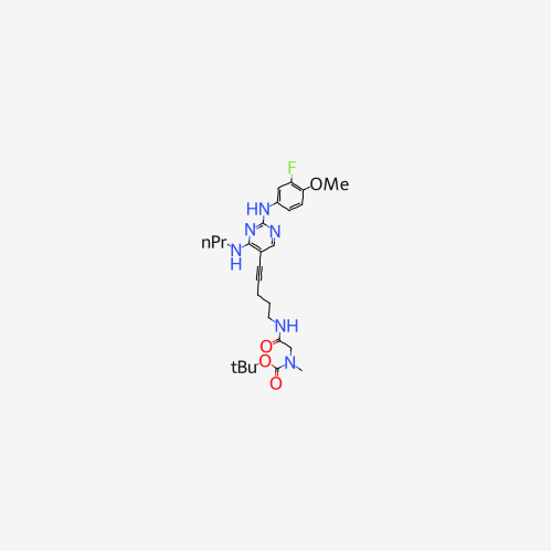 CCCNc1nc(Nc2ccc(OC)c(F)c2)ncc1C#CCCCNC(=O)CN(C)C(=O)OC(C)(C)C